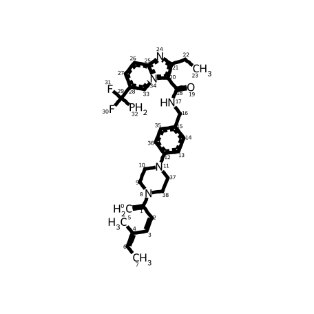 C=C(/C=C\C(C)=C/C)N1CCN(c2ccc(CNC(=O)c3c(CC)nc4ccc(C(F)(F)P)cn34)cc2)CC1